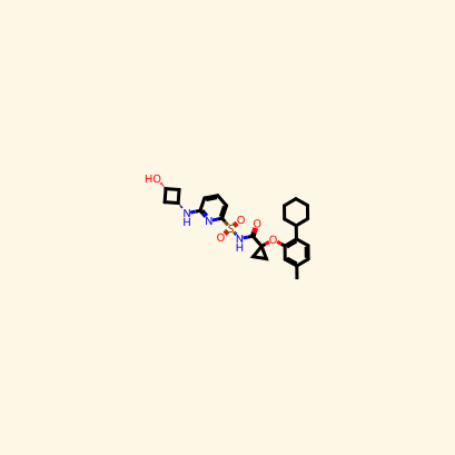 Cc1ccc(C2CCCCC2)c(OC2(C(=O)NS(=O)(=O)c3cccc(N[C@H]4C[C@@H](O)C4)n3)CC2)c1